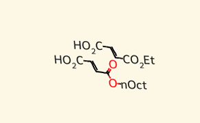 CCCCCCCCOC(=O)C=CC(=O)O.CCOC(=O)C=CC(=O)O